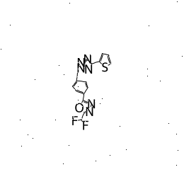 FC(F)c1nnc(-c2ccc(Cn3nnc(-c4cccs4)n3)cc2)o1